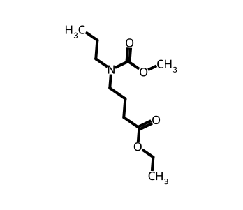 CCCN(CCCC(=O)OCC)C(=O)OC